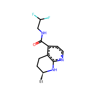 CC[C@H]1CCc2c(C(=O)NCC(F)F)ccnc2N1